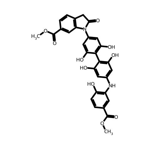 COC(=O)c1ccc(O)c(Nc2cc(O)c(-c3c(O)cc(N4C(=O)Cc5ccc(C(=O)OC)cc54)cc3O)c(O)c2)c1